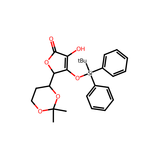 CC1(C)OCCC(C2OC(=O)C(O)=C2O[Si](c2ccccc2)(c2ccccc2)C(C)(C)C)O1